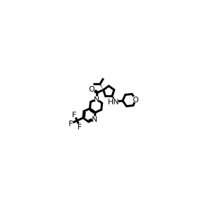 CC(C)[C@]1(C(=O)N2CCc3ncc(C(F)(F)F)cc3C2)CC[C@@H](NC2CCOCC2)C1